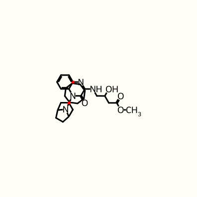 COC(=O)CC(O)CNc1nc2ccccc2n(C2CC3CCC(C2)N3C2CCCCCCC2)c1=O